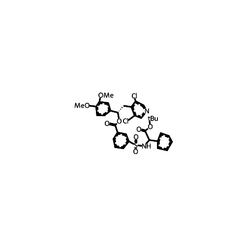 COc1ccc([C@H](Cc2c(Cl)cncc2Cl)OC(=O)c2cccc(S(=O)(=O)NC(C(=O)OC(C)(C)C)c3ccccc3)c2)cc1OC